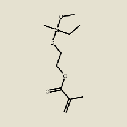 C=C(C)C(=O)OCCO[Si](C)(CC)OC